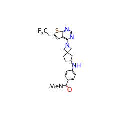 CNC(=O)c1ccc(N[C@H]2CCC3(C2)CN(c2ncnc4sc(CC(F)(F)F)cc24)C3)cc1